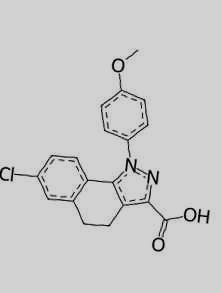 COc1ccc(-n2nc(C(=O)O)c3c2-c2ccc(Cl)cc2CC3)cc1